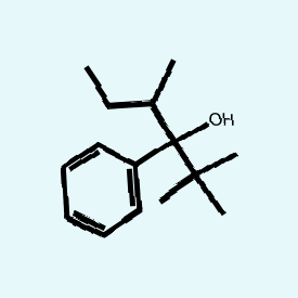 CCC(C)C(O)(c1ccccc1)C(C)(C)C